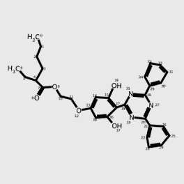 CCCCC(CC)C(=O)OCCOc1cc(O)c(-c2nc(-c3ccccc3)nc(-c3ccccc3)n2)c(O)c1